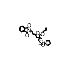 C=CCOC(=O)C(C)(CC=CCN1C(=O)c2ccccc2C1=O)C[Si](C)(C)ON1CCCC1